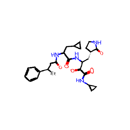 CCC(CC(=O)NC(CC1CC1)C(=O)NC(C[C@@H]1CCNC1=O)C(=O)C(=O)NC1CC1)c1ccccc1